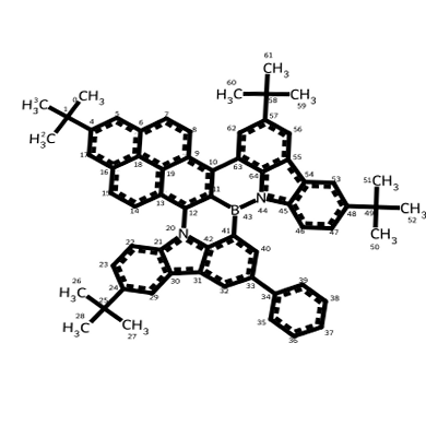 CC(C)(C)c1cc2ccc3c4c5c(c6ccc(c1)c2c36)-n1c2ccc(C(C)(C)C)cc2c2cc(-c3ccccc3)cc(c21)B5n1c2ccc(C(C)(C)C)cc2c2cc(C(C)(C)C)cc-4c21